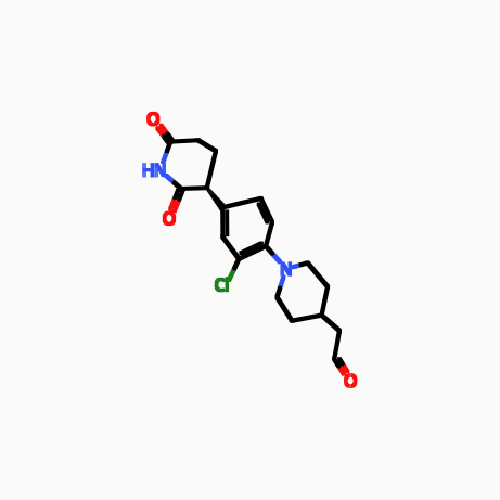 O=CCC1CCN(c2ccc([C@@H]3CCC(=O)NC3=O)cc2Cl)CC1